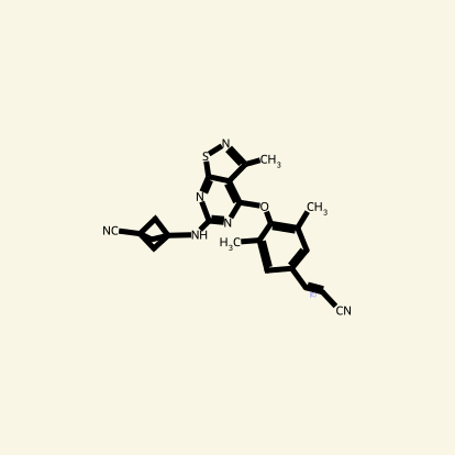 Cc1cc(/C=C/C#N)cc(C)c1Oc1nc(NC23CC(C#N)(C2)C3)nc2snc(C)c12